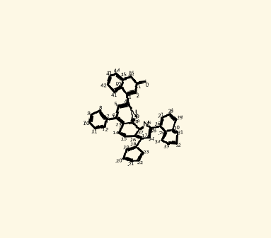 CC1C=C(c2cc(-c3ccccc3)c3ccc4c(-c5ccccc5)cc(-c5cccc6ccccc56)nc4c3n2)c2ccccc2C1